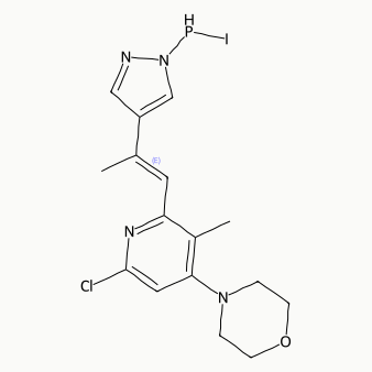 C/C(=C\c1nc(Cl)cc(N2CCOCC2)c1C)c1cnn(PI)c1